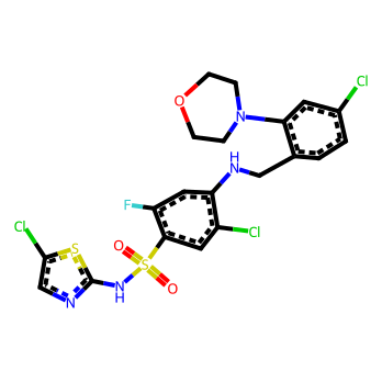 O=S(=O)(Nc1ncc(Cl)s1)c1cc(Cl)c(NCc2ccc(Cl)cc2N2CCOCC2)cc1F